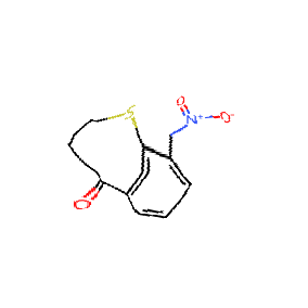 O=C1CCSc2c1cccc2[N+](=O)[O-]